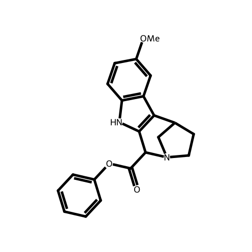 COc1ccc2[nH]c3c(c2c1)C1CCN(C1)C3C(=O)Oc1ccccc1